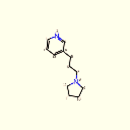 c1cncc(CCCN2CCCC2)c1